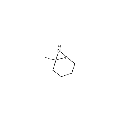 CC12CCCCN1N2